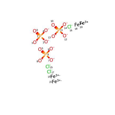 O=P([O-])([O-])[O-].O=P([O-])([O-])[O-].O=P([O-])([O-])[O-].[Cl-].[Cl-].[Cl-].[Fe+3].[Fe+3].[Fe+3].[Fe+3]